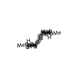 COC(=O)NCC(=O)Pc1ncc(-c2ccc(-c3ccc4cc(-c5cnc(PC(=O)CNC(=O)OC)[nH]5)ccc4c3)cc2)[nH]1